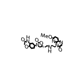 COc1ccc2ncc(=O)n(CCNCC[C@@H]3CN(c4ccc5c(c4)NC(=O)CO5)C(=O)O3)c2n1